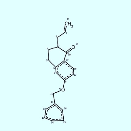 C=CCC1CCc2cc(OCc3ccccc3)ccc2C1=O